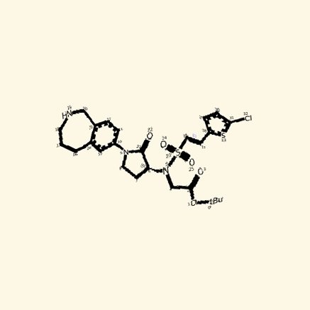 CC(C)(C)OC(=O)CN([C@H]1CCN(c2ccc3c(c2)CCCNC3)C1=O)S(=O)(=O)/C=C/c1ccc(Cl)s1